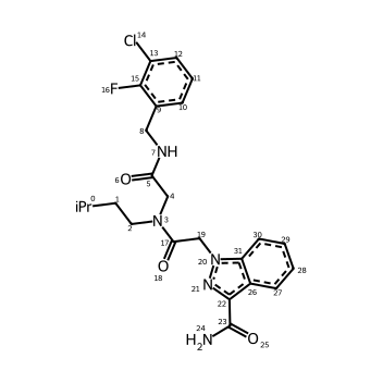 CC(C)CCN(CC(=O)NCc1cccc(Cl)c1F)C(=O)Cn1nc(C(N)=O)c2ccccc21